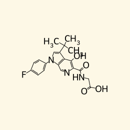 CC(C)(C)c1cn(-c2ccc(F)cc2)c2cnc(C(=O)NCC(=O)O)c(O)c12